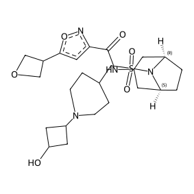 O=C(NC1C[C@H]2CC[C@@H](C1)N2S(=O)(=O)CC1CCN(C2CC(O)C2)CC1)c1cc(C2COC2)on1